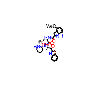 COc1cccc2[nH]c(C(=O)N[C@@H](CC(C)C)C(=O)N[C@@H](C[C@@H]3CCCNC3O)C(=O)c3nc4ccccc4s3)cc12